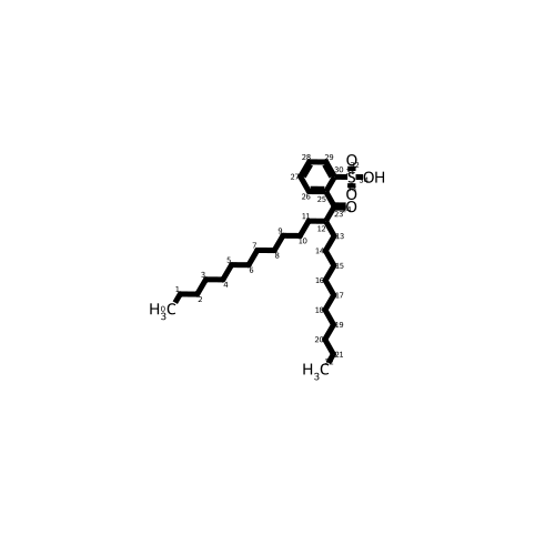 CCCCCCCCCCCCC(CCCCCCCCCC)C(=O)c1ccccc1S(=O)(=O)O